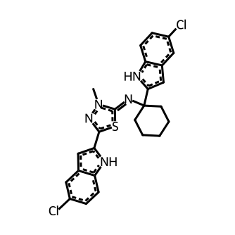 Cn1nc(-c2cc3cc(Cl)ccc3[nH]2)sc1=NC1(c2cc3cc(Cl)ccc3[nH]2)CCCCC1